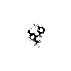 Cc1cccc(Nc2cc(CI)nnc2C(N)=O)n1